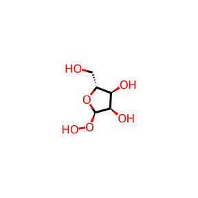 OC[C@H]1O[C@H](OO)[C@H](O)[C@@H]1O